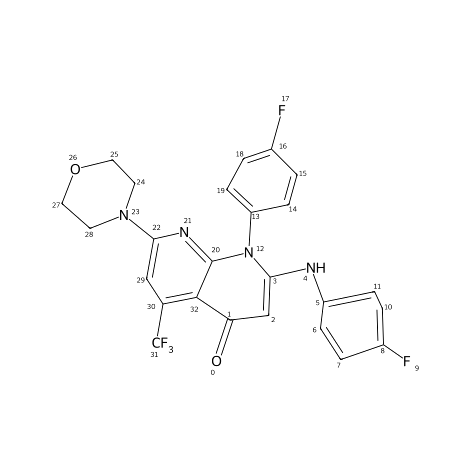 O=c1cc(Nc2ccc(F)cc2)n(-c2ccc(F)cc2)c2nc(N3CCOCC3)cc(C(F)(F)F)c12